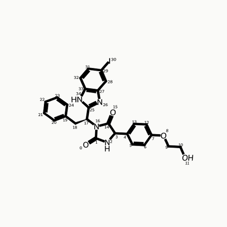 O=C1NC(c2ccc(OCCO)cc2)C(=O)N1[C@@H](Cc1ccccc1)c1nc2cc(I)ccc2[nH]1